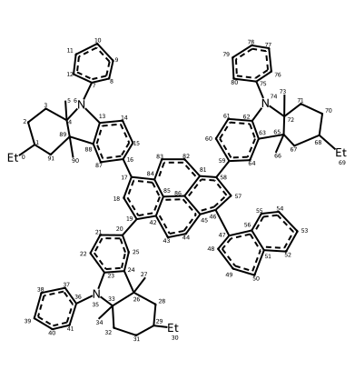 CCC1CCC2(C)N(c3ccccc3)c3ccc(-c4cc(-c5ccc6c(c5)C5(C)CC(CC)CCC5(C)N6c5ccccc5)c5ccc6c(-c7cccc8ccccc78)cc(-c7ccc8c(c7)C7(C)CC(CC)CCC7(C)N8c7ccccc7)c7ccc4c5c76)cc3C2(C)C1